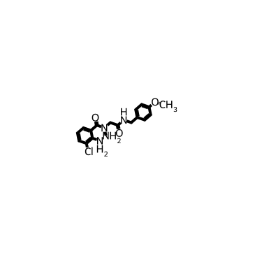 COc1ccc(CNC(=O)CN(N)C(=O)c2cccc(Cl)c2N)cc1